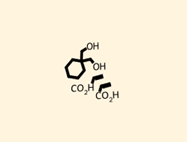 C=CC(=O)O.C=CC(=O)O.OCC1(CO)CCCCC1